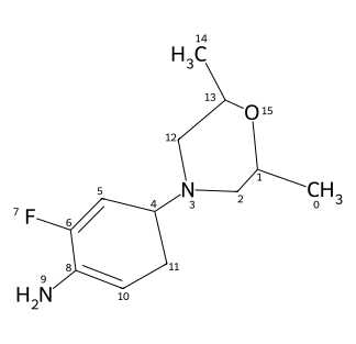 CC1CN(C2C=C(F)C(N)=CC2)CC(C)O1